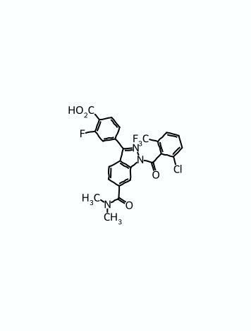 CN(C)C(=O)c1ccc2c(-c3ccc(C(=O)O)c(F)c3)nn(C(=O)c3c(Cl)cccc3C(F)(F)F)c2c1